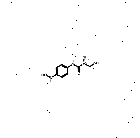 N[C@@H](CS)C(=O)Nc1ccc(NO)cc1